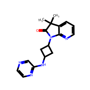 CC1(C)C(=O)N(C2CC(Nc3cnccn3)C2)c2ncccc21